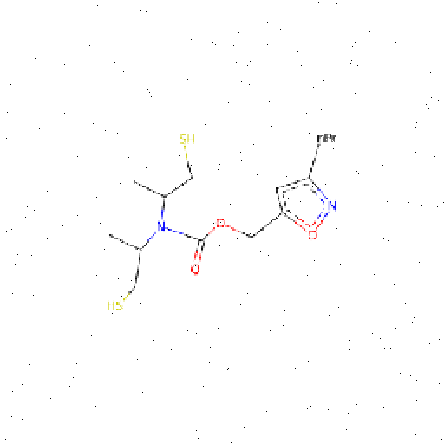 CCCc1cc(COC(=O)N(C(C)CS)C(C)CS)on1